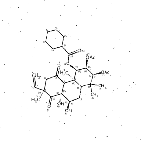 C=C[C@@]1(C)CC(=O)C2[C@]3(C)C(C[C@@H](O)[C@@]2(O)C1=O)C(C)(C)[C@H](OC(C)=O)[C@H](OC(C)=O)[C@@H]3OC(=O)C1CCCCC1